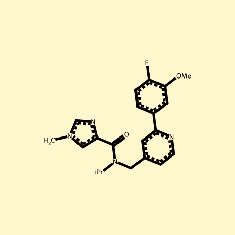 COc1cc(-c2cc(CN(C(=O)c3cn(C)cn3)C(C)C)ccn2)ccc1F